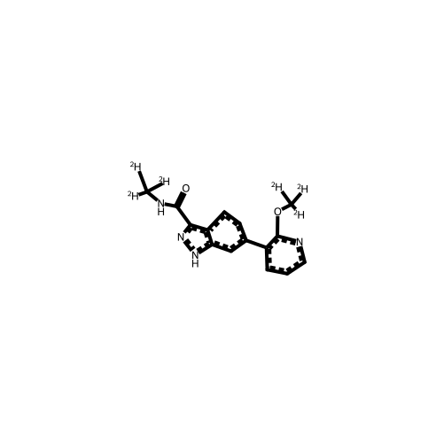 [2H]C([2H])([2H])NC(=O)c1n[nH]c2cc(-c3cccnc3OC([2H])([2H])[2H])ccc12